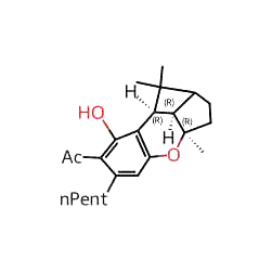 CCCCCc1cc2c(c(O)c1C(C)=O)[C@@H]1[C@H]3C(CC[C@@]3(C)O2)C1(C)C